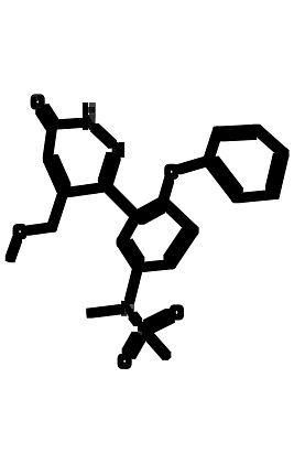 COCc1cc(=O)[nH]nc1-c1cc(N(C)S(C)(=O)=O)ccc1Oc1ccccc1